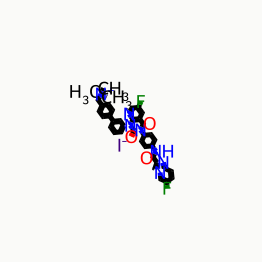 C[N+](C)(C)Cc1ccc(-c2cccc(-n3c(=O)n(C4CCC(NC(=O)c5cn6cc(F)ccc6n5)CC4)c(=O)c4cc(F)cnc43)c2)cc1.[I-]